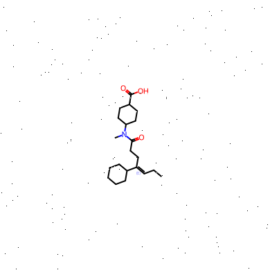 CC/C=C(\CCC(=O)N(C)C1CCC(C(=O)O)CC1)C1CCCCC1